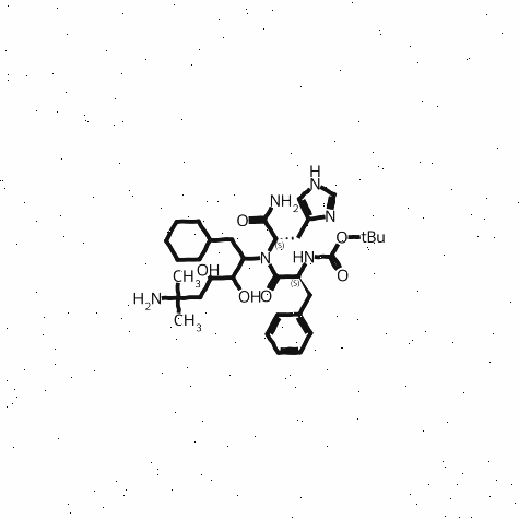 CC(C)(N)CC(O)C(O)C(CC1CCCCC1)N(C(=O)[C@H](Cc1ccccc1)NC(=O)OC(C)(C)C)[C@@H](Cc1c[nH]cn1)C(N)=O